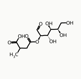 CC(CC(=O)O[C@@H](C=O)[C@@H](O)[C@@H](O)[C@H](O)CO)C(=O)O